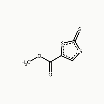 COC(=O)c1csc(=S)s1